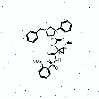 C=C[C@@H]1C[C@]1(NC(=O)[C@@H]1CN(Cc2ccccc2)C[C@H]1c1ccccc1)C(=O)NS(=O)(=O)c1ccccc1NC